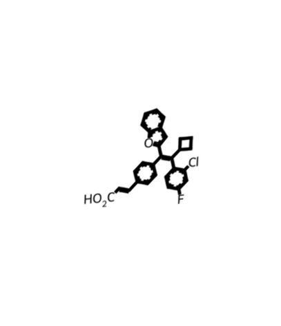 O=C(O)C=Cc1ccc(C(=C(c2ccc(F)cc2Cl)C2CCC2)c2cc3ccccc3o2)cc1